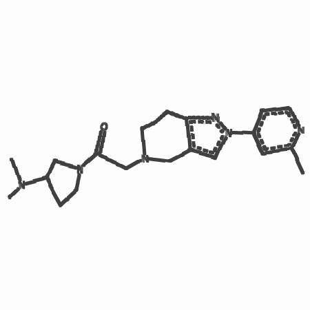 Cc1cc(-n2cc3c(n2)CCN(CC(=O)N2CCC(N(C)C)C2)C3)ccn1